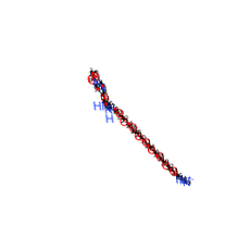 CC(C)(C)OC(=O)N1CCN(CCOCC2=CN(CCOCCOCCOCCOCCOCCOCCOCCOCCOCCN=[N+]=[N-])NN2)CC1